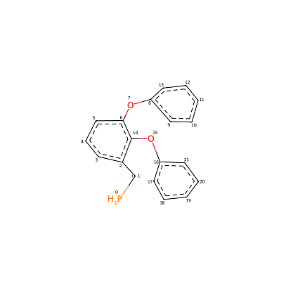 P[C]c1cccc(Oc2ccccc2)c1Oc1ccccc1